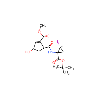 COC(=O)C1=CC(O)CC1C(=O)NC1(C(=O)OC(C)(C)C)C[C@H]1I